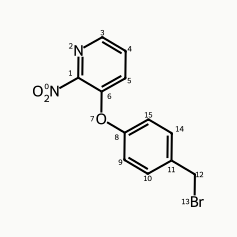 O=[N+]([O-])c1ncccc1Oc1ccc(CBr)cc1